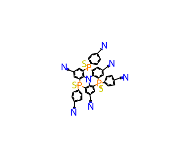 N#Cc1ccc(P2(=S)c3cc(C#N)cc4c3N3c5c2cc(C#N)cc5P(=S)(c2ccc(C#N)cc2)c2cc(C#N)cc(c23)P4(=S)c2ccc(C#N)cc2)cc1